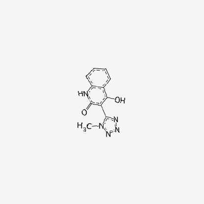 Cn1nnnc1-c1c(O)c2ccccc2[nH]c1=O